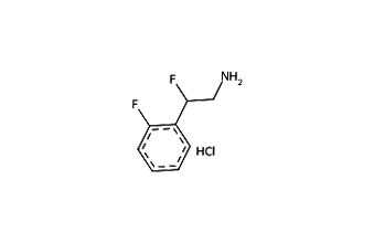 Cl.NCC(F)c1ccccc1F